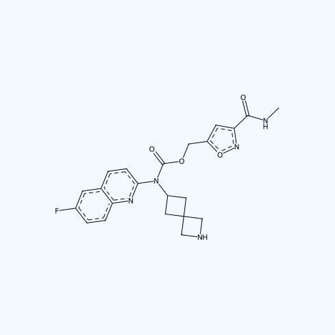 CNC(=O)c1cc(COC(=O)N(c2ccc3cc(F)ccc3n2)C2CC3(CNC3)C2)on1